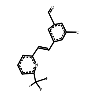 O=Cc1cc(Cl)cc(/C=C/c2cccc(C(F)(F)F)n2)c1